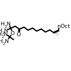 CCCCCCCC/C=C\CCCCCCCC(=O)CC(N)(N)OC(C)(N)N